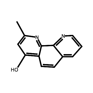 Cc1cc(O)c2ccc3cccnc3c2n1